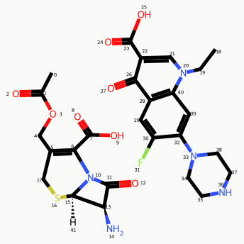 CC(=O)OCC1=C(C(=O)O)N2C(=O)[C@@H](N)[C@H]2SC1.CCn1cc(C(=O)O)c(=O)c2cc(F)c(N3CCNCC3)cc21